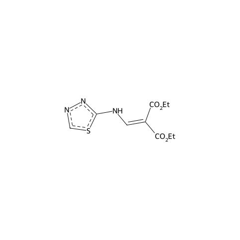 CCOC(=O)C(=CNc1nncs1)C(=O)OCC